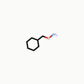 NOCC1CCCCC1